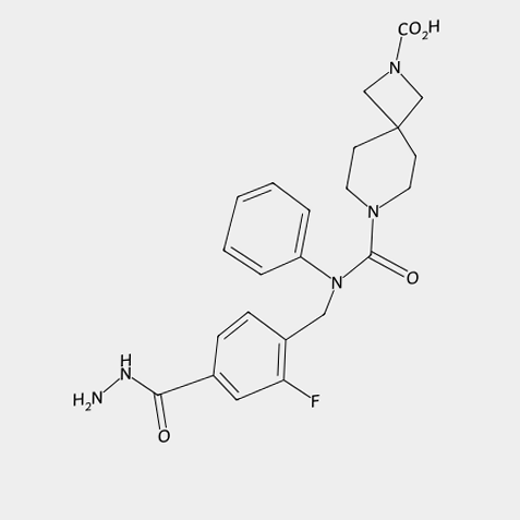 NNC(=O)c1ccc(CN(C(=O)N2CCC3(CC2)CN(C(=O)O)C3)c2ccccc2)c(F)c1